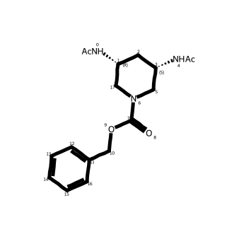 CC(=O)N[C@@H]1C[C@H](NC(C)=O)CN(C(=O)OCc2ccccc2)C1